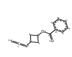 O=C(OC1CC(N=C=S)C1)c1ccccc1